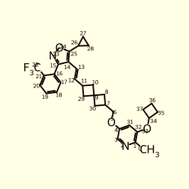 Cc1ncc(OCC2CC3(CC(/C=C/c4c(-c5ccccc5C(F)(F)F)noc4C4CC4)C3)C2)cc1OC1CCC1